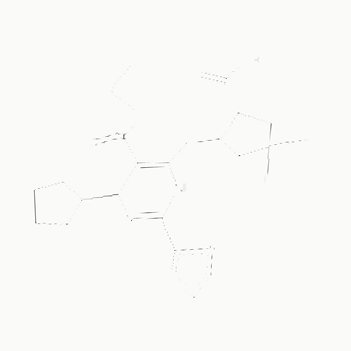 CCOC(=O)C1=C(CC2CC(F)(F)C[C@H]2C(=O)O)NC(c2nccs2)=NC1C1CCCC1